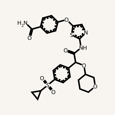 NC(=O)c1ccc(Oc2cnc(NC(=O)C(OC3CCCOC3)c3ccc(S(=O)(=O)C4CC4)cc3)s2)cc1